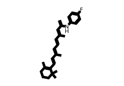 C=C(/C=C(C)/C=C/C=C(C)/C=C/C1=C(C)CCCC1(C)C)Nc1ccc(F)cc1